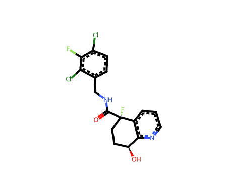 O=C(NCc1ccc(Cl)c(F)c1Cl)[C@]1(F)CC[C@H](O)c2ncccc21